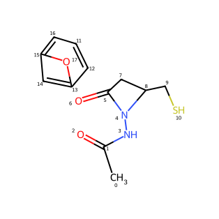 CC(=O)NN1C(=O)CC1CS.c1cc2cc(c1)O2